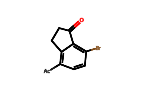 CC(=O)c1ccc(Br)c2c1CCC2=O